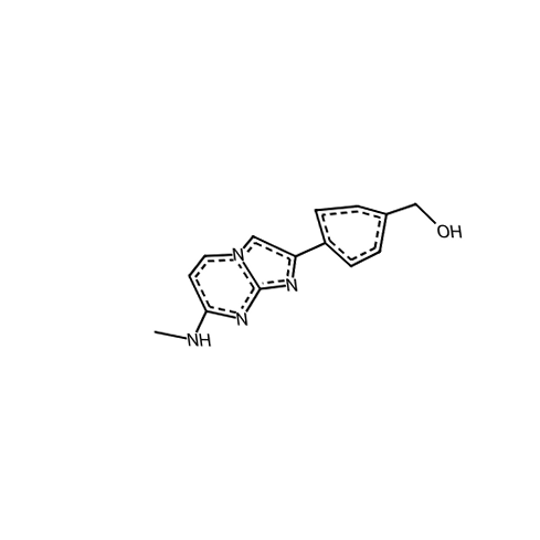 CNc1ccn2cc(-c3ccc(CO)cc3)nc2n1